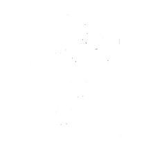 C=CCCCOc1c(F)c(F)cc(C)c1-c1cc(C2CC2)c(F)c([C@H](CC(=O)OCC)NC(=O)[C@H](CC=C)n2cc(Br)c(C(F)(F)F)cc2=O)c1